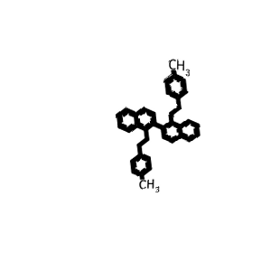 Cc1ccc(CCc2c(-c3ccc4ccccc4c3CCc3ccc(C)cc3)ccc3ccccc23)cc1